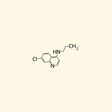 [CH2]CCNc1ccnc2cc(Cl)ccc12